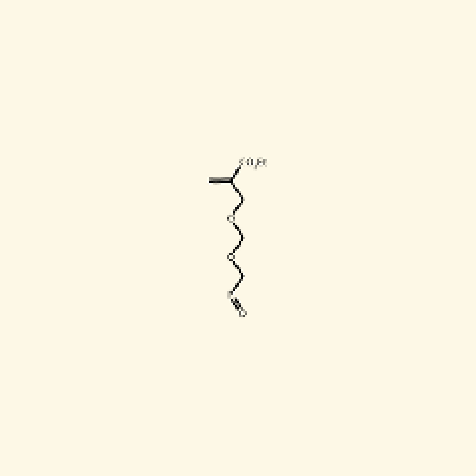 C=C(COCOCP=O)C(=O)OCC